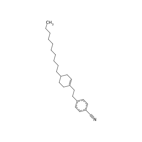 CCCCCCCCCCC1CC=C(CCc2ccc(C#N)cc2)CC1